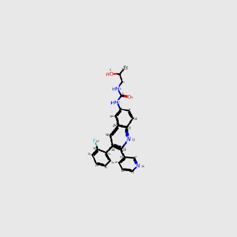 CCC(O)CNC(=O)Nc1ccc2nc(-c3cccnc3)c(-c3ccccc3F)cc2c1